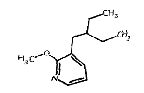 CCC(CC)Cc1cccnc1OC